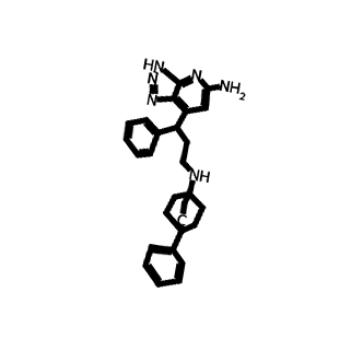 Nc1cc(C(CCNC23CCC(c4ccccc4)(CC2)CC3)c2ccccc2)c2nn[nH]c2n1